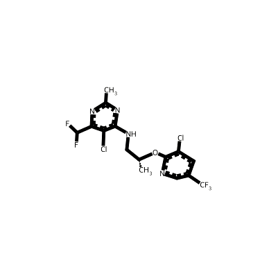 Cc1nc(NC[C@@H](C)Oc2ncc(C(F)(F)F)cc2Cl)c(Cl)c(C(F)F)n1